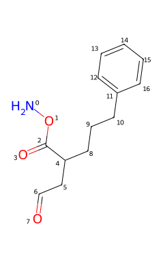 NOC(=O)C(CC=O)CCCc1ccccc1